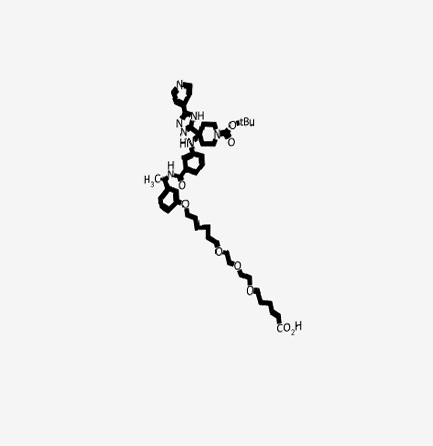 C[C@@H](NC(=O)c1cccc(NC2(c3nnc(-c4ccncc4)[nH]3)CCN(C(=O)OC(C)(C)C)CC2)c1)c1cccc(OCCCCCCOCCOCCOCCCCCC(=O)O)c1